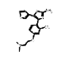 CN(C)CCOc1ccc(-c2nc(N)sc2-c2ccsc2)c(C(F)(F)F)c1